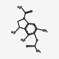 CC(=O)Oc1c(C)cc2c(c1C)C(C)CN2C(C)=O